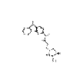 N=C1NCC(CCNC(=O)c2cc3c(cn2)[nH]c2ccccc23)N1